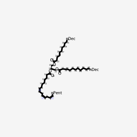 CCCCC/C=C\C/C=C\C/C=C\CCCCCCC(=O)O[C@@H](COC(=O)CCCCCCCCCCCCCCCCCCC)COC(=O)CCCCCCCCCCCCCCCCCCCCC